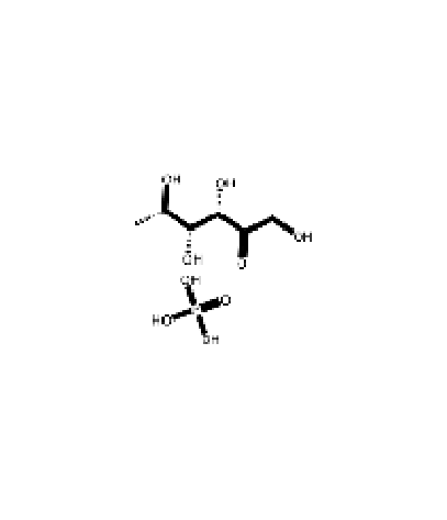 C[C@H](O)[C@@H](O)[C@H](O)C(=O)CO.O=P(O)(O)O